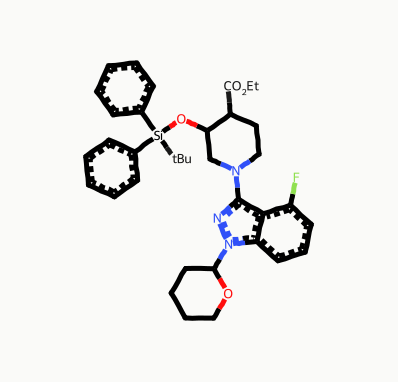 CCOC(=O)C1CCN(c2nn(C3CCCCO3)c3cccc(F)c23)CC1O[Si](c1ccccc1)(c1ccccc1)C(C)(C)C